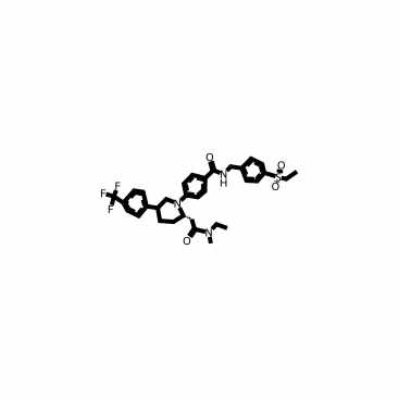 CCN(C)C(=O)C[C@@H]1CCC(c2ccc(C(F)(F)F)cc2)CN1c1ccc(C(=O)NCc2ccc(S(=O)(=O)CC)cc2)cc1